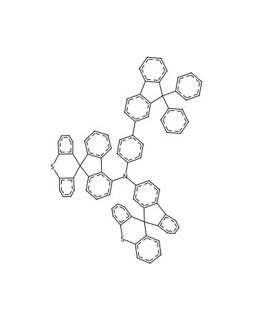 c1ccc(C2(c3ccccc3)c3ccccc3-c3ccc(-c4ccc(N(c5ccc6c(c5)C5(c7ccccc7Sc7ccccc75)c5ccccc5-6)c5cccc6c5-c5ccccc5C65c6ccccc6Sc6ccccc65)cc4)cc32)cc1